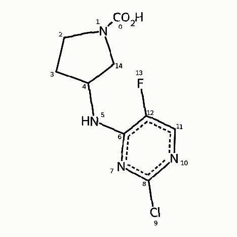 O=C(O)N1CCC(Nc2nc(Cl)ncc2F)C1